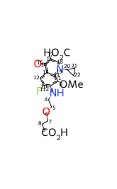 COc1c(NCCOCCC(=O)O)c(F)cc2c(=O)c(C(=O)O)cn(C3CC3)c12